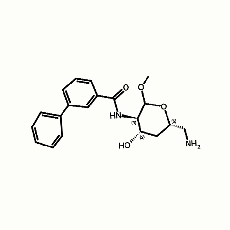 COC1O[C@H](CN)C[C@H](O)[C@H]1NC(=O)c1cccc(-c2ccccc2)c1